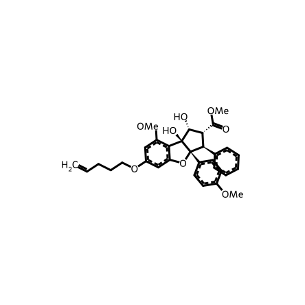 C=CCCCOc1cc(OC)c2c(c1)O[C@@]1(c3ccc(OC)cc3)[C@H](c3ccccc3)[C@@H](C(=O)OC)[C@@H](O)[C@@]21O